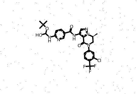 C[C@H]1CN(c2ccc(C(F)(F)F)c(Cl)c2)C(=O)c2c(NC(=O)c3ccc(NC(O)OC(C)(C)C)nc3)cnn21